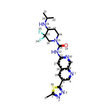 Cc1nnc(-c2cnc3cnc(NC(=O)N4CCC(NC(C)C)C(F)(F)C4)cc3c2)s1